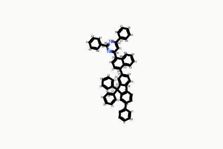 c1ccc(-c2ccc3c(c2)C(c2ccccc2)(c2ccccc2)c2cc(-c4ccc(-c5cc(-c6ccccc6)nc(-c6ccccc6)n5)c5ccccc45)ccc2-3)cc1